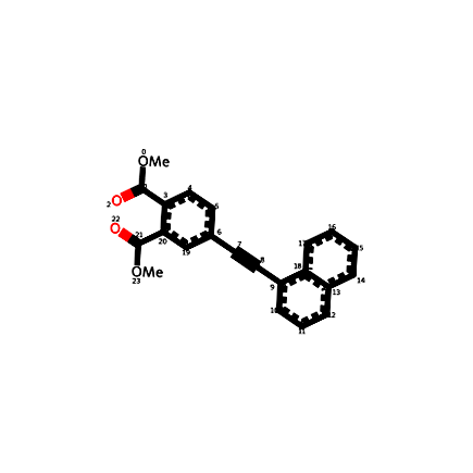 COC(=O)c1ccc(C#Cc2cccc3ccccc23)cc1C(=O)OC